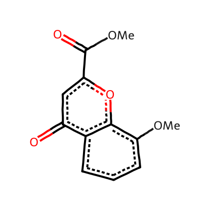 COC(=O)c1cc(=O)c2cccc(OC)c2o1